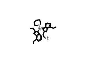 CCC1=Cc2c(CC)cccc2[CH]1[Hf+2]([CH]1C(CC)=Cc2c(CC)cccc21)=[Si]1CCCCC1.[Cl-].[Cl-]